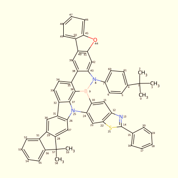 CC(C)(C)c1ccc(N2B3c4cc5nc(-c6ccccc6)sc5cc4-n4c5cc6c(cc5c5ccc(c3c54)-c3cc4c(cc32)oc2ccccc24)-c2ccccc2C6(C)C)cc1